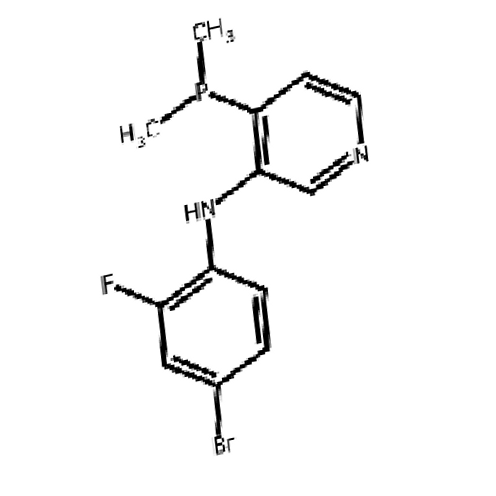 CP(C)c1ccncc1Nc1ccc(Br)cc1F